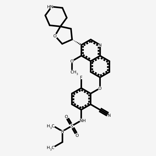 CCN(C)S(=O)(=O)Nc1ccc(F)c(Oc2ccc3ncc([C@@H]4COC5(CCNCC5)C4)c(OC)c3c2)c1C#N